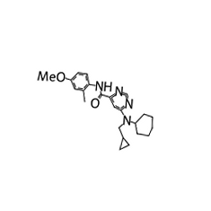 COc1ccc(NC(=O)c2cc(N(CC3CC3)C3CCCCC3)ncn2)c(C)c1